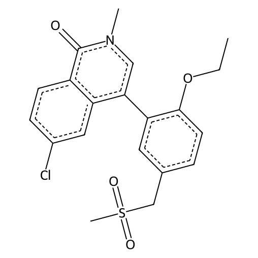 CCOc1ccc(CS(C)(=O)=O)cc1-c1cn(C)c(=O)c2ccc(Cl)cc12